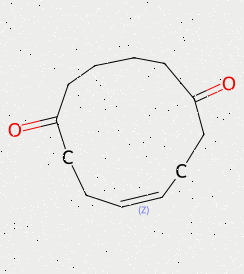 O=C1CC/C=C\CCC(=O)CCCC1